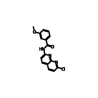 COc1cccc(C(=O)Nc2ccc3ccc(Cl)nc3n2)c1